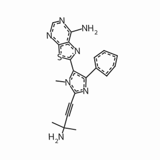 Cn1c(C#CC(C)(C)N)nc(-c2ccccc2)c1-c1nc2c(N)ncnc2s1